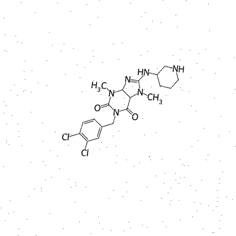 CN1C(=O)N(Cc2ccc(Cl)c(Cl)c2)C(=O)C2C1N=C(NC1CCCNC1)N2C